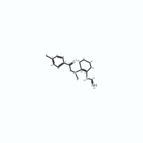 Cc1ccc(C(=O)CN(C)C2=C(SC=N)CCCC2)cc1